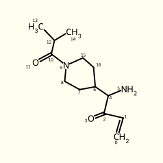 C=CC(=O)C(N)C1CCN(C(=O)C(C)C)CC1